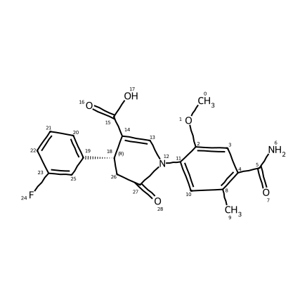 COc1cc(C(N)=O)c(C)cc1N1C=C(C(=O)O)[C@@H](c2cccc(F)c2)CC1=O